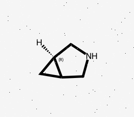 C1NC[C@@H]2CC12